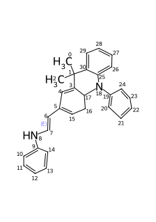 CC1(C)C2=CC(/C=C/Nc3ccccc3)=CCC2N(c2ccccc2)c2ccccc21